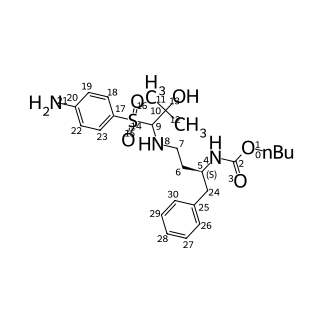 CCCCOC(=O)N[C@H](CCNC(C(C)(C)O)S(=O)(=O)c1ccc(N)cc1)Cc1ccccc1